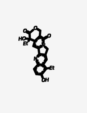 CCc1c(O)ccc2nc3c(cc12)Cn1c-3cc2c(c1=O)COC(=O)C2(O)CC